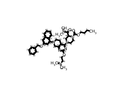 CCCCOC(=O)N1CCN(c2nc(OCCN(C)C)nc3c2CCN(c2cc(OCc4ccccc4)cc4ccccc24)C3)CC1C(=O)N(C)C